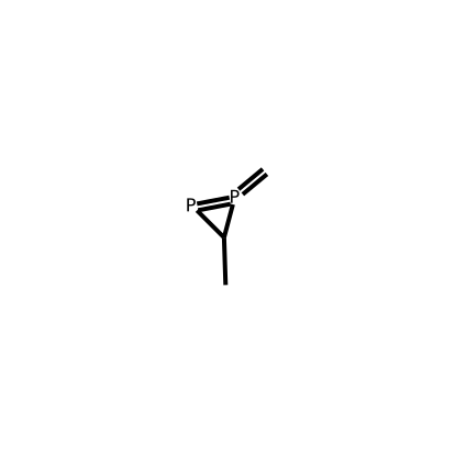 C=P1=PC1C